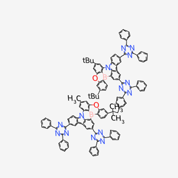 Cc1cc2c3c(c1)-n1c4ccc(-c5nc(-c6ccccc6)nc(-c6ccccc6)n5)cc4c4cc(-c5nc(-c6ccccc6)nc(-c6ccccc6)n5)cc(c41)B3c1ccc(C(C)(C)Cc3ccc(-c4nc(-c5ccccc5)nc(-c5cc6c7c(c5)c5cc(-c8nc(-c9ccccc9)nc(-c9ccccc9)n8)ccc5n7-c5cc(C(C)(C)C)cc7c5B6c5ccc(C(C)(C)C)cc5O7)n4)cc3)cc1O2